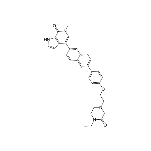 CCN1CCN(CCOc2ccc(-c3ccc4cc(-c5cn(C)c(=O)c6[nH]ccc56)ccc4n3)cc2)CC1=O